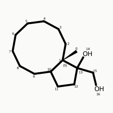 C[C@]12CCCCCCCCC1CCC2(O)CO